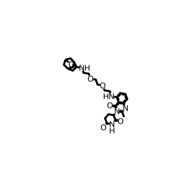 Cc1nc2cccc(NCCOCCOCCNC34CC5CC(CC3C5)C4)c2c(=O)n1C1CCC(=O)NC1=O